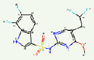 COc1nc(NS(=O)(=O)c2c[nH]c3c(F)c(F)ccc23)ncc1CC(F)F